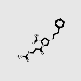 CC(=O)SCCC(=O)N1C[C@@H](CCCc2ccccc2)C[C@H]1C(=O)O